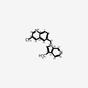 Cc1cn(Cc2ccc3ncc(Cl)cc3c2)c2cnccc12